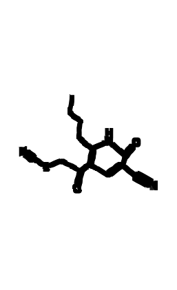 CCCCc1[nH]c(=O)c(C#N)cc1C(=O)CSC#N